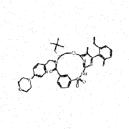 CCc1cccc(C)c1-c1nc2nc(c1C)OC[C@@H](CC(C)(C)C)N(Cc1ccc(N3CCOCC3)cn1)C(=O)c1cccc(c1)S(=O)(=O)N2